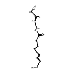 CCCCCCCCCCCCCCCC(=O)OC/C=C(\C)CCl